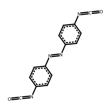 O=C=Nc1ccc(/N=N/c2ccc(N=C=O)cc2)cc1